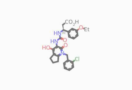 CCOc1cccc([C@H](CC(=O)O)NC(=O)Nc2c(O)c3c(n(Cc4ccccc4Cl)c2=O)CCC3)c1